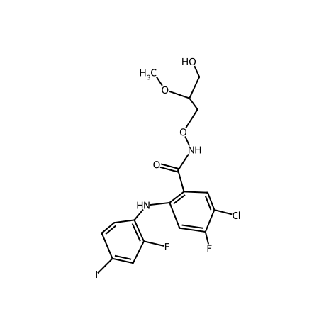 COC(CO)CONC(=O)c1cc(Cl)c(F)cc1Nc1ccc(I)cc1F